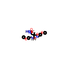 CCCN(Cc1ccc(Oc2ccccc2)cc1)C(=O)C1C(CC(=O)O)C(Cc2n[nH]c(=O)o2)C1C(=O)N(CCC)Cc1ccc(Oc2ccccc2)cc1